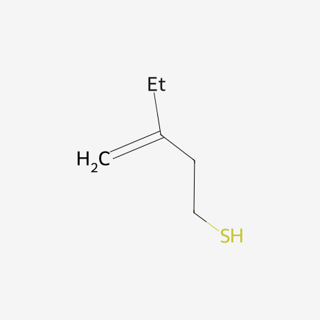 C=C(CC)CCS